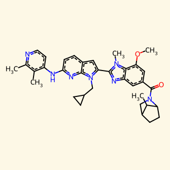 COc1cc(C(=O)N2CC3CCC2C3C)cc2nc(-c3cc4ccc(Nc5ccnc(C)c5C)nc4n3CC3CC3)n(C)c12